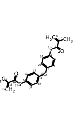 C=C(C)C(=O)Sc1ccc(Sc2ccc(SC(=O)C(=C)C)cc2)cc1